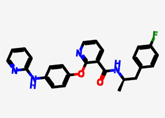 C[C@H](Cc1ccc(F)cc1)NC(=O)c1cccnc1Oc1ccc(Nc2ccccn2)cc1